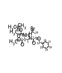 COC(=O)[C@H](CNC(=O)[C@H](CCBr)OCc1ccccc1)NC(=O)OC(C)(C)C